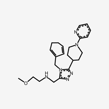 COCCNCc1nnc(C2CCN(c3ccccn3)CC2)n1CC1=CCCC=C1